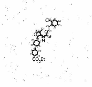 CCOC(=O)c1ccc(-c2ccc(-c3onc(C)c3NC(=O)OCCc3ccccc3Cl)cc2)cc1